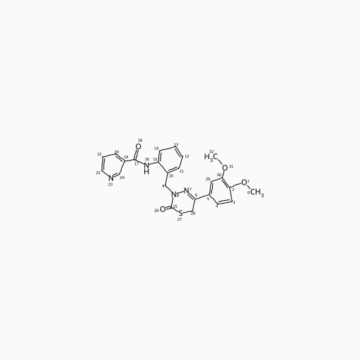 COc1ccc(C2=NN(Cc3ccccc3NC(=O)c3cccnc3)C(=O)SC2)cc1OC